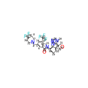 C[C@@H]1CN(Cc2cc3c(c(C(F)(F)F)c2)CN(c2cccc(C4(c5nncn5C)COC4)c2)C3=O)CCC1(F)F